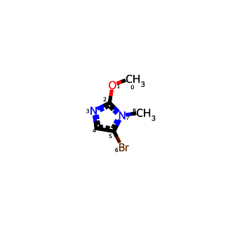 COc1ncc(Br)n1C